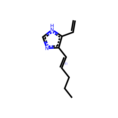 C=Cc1[nH]cnc1/C=C/CCC